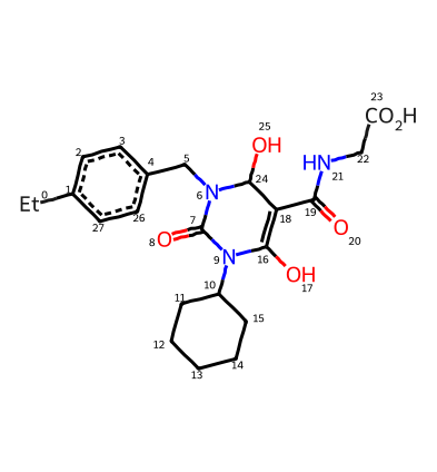 CCc1ccc(CN2C(=O)N(C3CCCCC3)C(O)=C(C(=O)NCC(=O)O)C2O)cc1